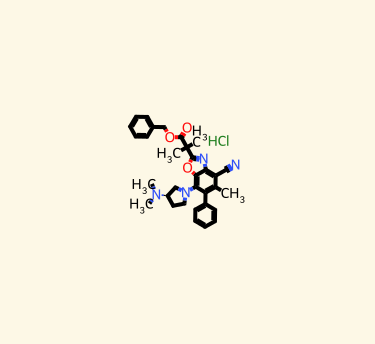 Cc1c(-c2ccccc2)c(N2CC[C@H](N(C)C)C2)c2oc(C(C)(C)C(=O)OCc3ccccc3)nc2c1C#N.Cl